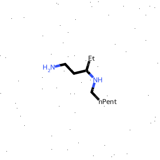 CCCCCCNC(CC)CCN